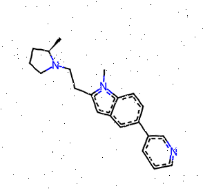 C[C@@H]1CCCN1CCc1cc2cc(-c3cccnc3)ccc2n1C